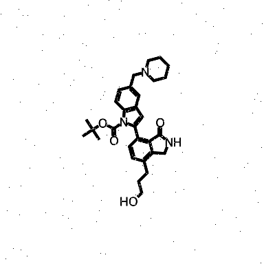 CC(C)(C)OC(=O)n1c(-c2ccc(CCCO)c3c2C(=O)NC3)cc2cc(CN3CCCCC3)ccc21